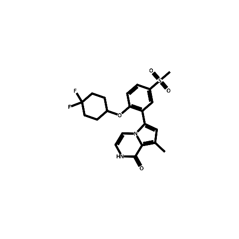 Cc1cc(-c2cc(S(C)(=O)=O)ccc2OC2CCC(F)(F)CC2)n2cc[nH]c(=O)c12